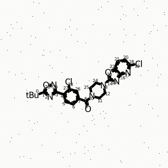 CC(C)(C)c1nc(-c2ccc(C(=O)N3CCN(c4nc5nc(Cl)ccc5o4)CC3)cc2Cl)no1